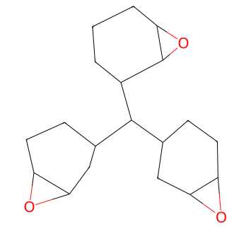 C1CC2OC2C(C(C2CCC3OC3C2)C2CCC3OC3C2)C1